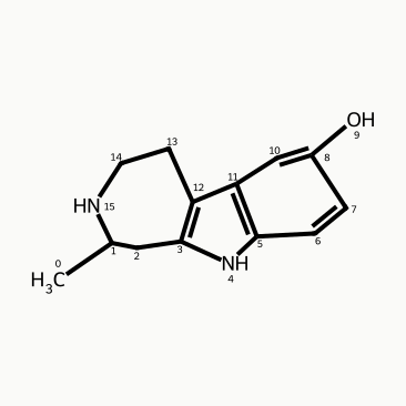 CC1Cc2[nH]c3ccc(O)cc3c2CCN1